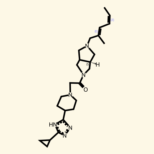 C/C=C\C=C(/C)CN1CC2CN(C(=O)CN3CCC(c4nnc(C5CC5)[nH]4)CC3)C[C@@H]2C1